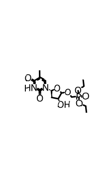 CCOP(=O)(COC1O[C@@H](n2cc(C)c(=O)[nH]c2=O)C[C@@H]1O)OCC